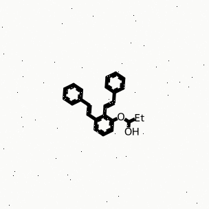 CCC(O)Oc1cccc(C=Cc2ccccc2)c1C=Cc1ccccc1